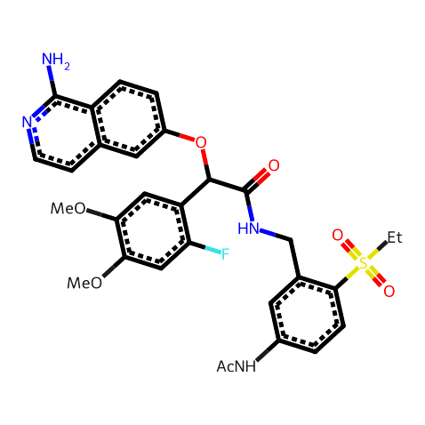 CCS(=O)(=O)c1ccc(NC(C)=O)cc1CNC(=O)C(Oc1ccc2c(N)nccc2c1)c1cc(OC)c(OC)cc1F